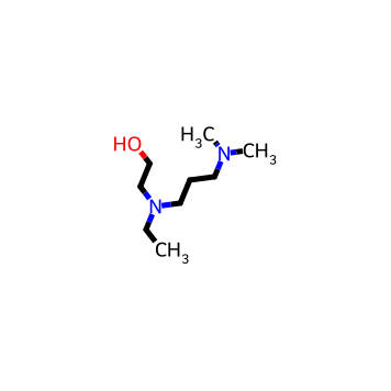 CCN(CCO)CCCN(C)C